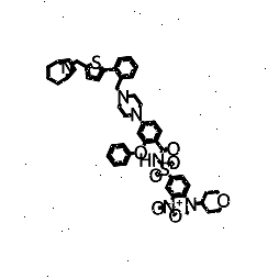 CN(c1ccc(S(=O)(=O)NC(=O)c2ccc(N3CCN(Cc4ccccc4-c4ccc(CN5C6CCCC5CC6)s4)CC3)cc2Oc2ccccc2)cc1[N+](=O)[O-])C1CCOCC1